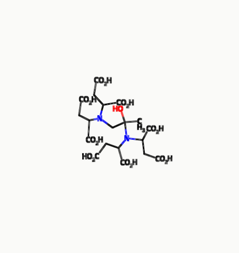 CC(O)(CN(C(CC(=O)O)C(=O)O)C(CC(=O)O)C(=O)O)N(C(CC(=O)O)C(=O)O)C(CC(=O)O)C(=O)O